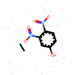 CC.O=[N+]([O-])c1ccc(O)cc1[N+](=O)[O-]